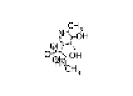 CNCC(c1cnc(C)c(O)c1CO)P(=O)(O)O